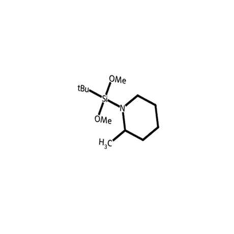 CO[Si](OC)(N1CCCCC1C)C(C)(C)C